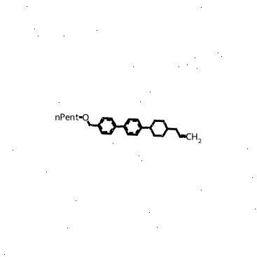 C=CCC1CCC(c2ccc(-c3ccc(COCCCCC)cc3)cc2)CC1